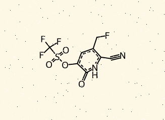 N#Cc1[nH]c(=O)c(OS(=O)(=O)C(F)(F)F)cc1CF